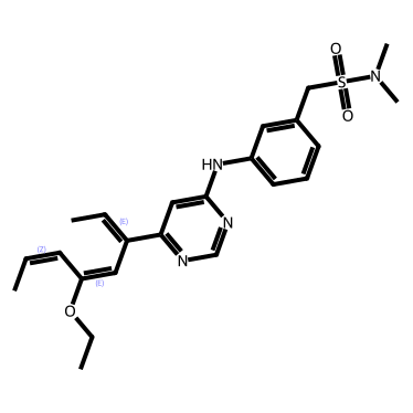 C\C=C/C(=C\C(=C/C)c1cc(Nc2cccc(CS(=O)(=O)N(C)C)c2)ncn1)OCC